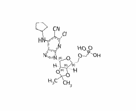 CC1(C)O[C@@H]2[C@H](O1)[C@@H](COCP(=O)(O)O)O[C@H]2n1cnc2c(NC3CCCC3)c(C#N)c(Cl)nc21